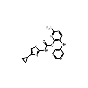 Cc1ccc(Nc2cncnc2)c(OC(=O)Nc2nc(C3CC3)cs2)n1